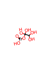 [O]=[Ti]([OH])[O]C(O)(O)C(O)O